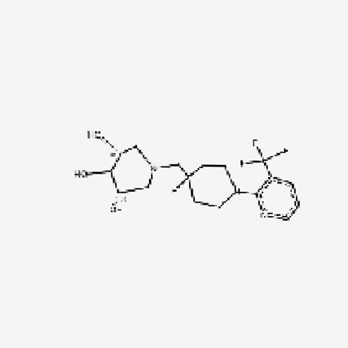 OC1[C@H](O)CN(CC2(F)CCN(c3ncccc3C(F)(F)F)CC2)C[C@@H]1O